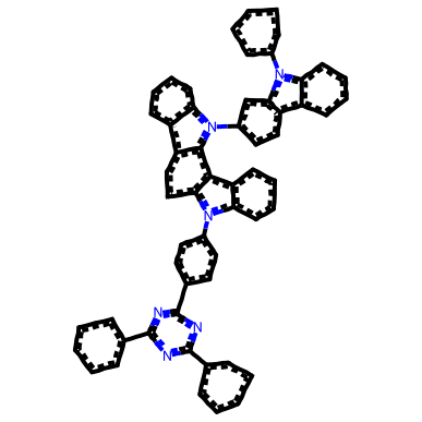 c1ccc(-c2nc(-c3ccccc3)nc(-c3ccc(-n4c5ccccc5c5c4ccc4c6ccccc6n(-c6ccc7c8ccccc8n(-c8ccccc8)c7c6)c45)cc3)n2)cc1